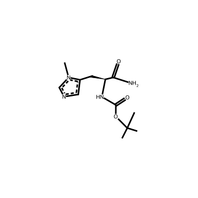 Cn1cncc1C[C@H](NC(=O)OC(C)(C)C)C(N)=O